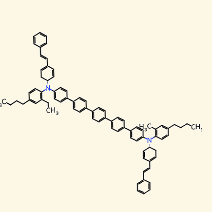 CCCCc1ccc(N(c2ccc(-c3ccc(-c4ccc(-c5ccc(-c6ccc(N(c7ccc(CCCC)cc7CC)[C@H]7C=CC(/C=C/c8ccccc8)=CC7)cc6)cc5)cc4)cc3)cc2)[C@H]2C=CC(/C=C/c3ccccc3)=CC2)c(C)c1